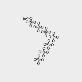 [O]=[Re](=[O])(=[O])[O-].[O]=[Re](=[O])(=[O])[O-].[O]=[Re](=[O])(=[O])[O-].[O]=[Re](=[O])(=[O])[O-].[O]=[Re](=[O])(=[O])[O-].[O]=[Re](=[O])(=[O])[O-].[O]=[Re](=[O])(=[O])[O-].[Re+7]